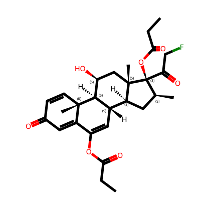 CCC(=O)OC1=C[C@@H]2[C@H]([C@@H](O)C[C@@]3(C)[C@H]2C[C@H](C)[C@@]3(OC(=O)CC)C(=O)CF)[C@@]2(C)C=CC(=O)C=C12